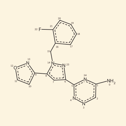 Nc1cnnc(-c2cc(-c3ccon3)n(Cc3ccccc3F)n2)n1